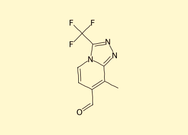 Cc1c(C=O)ccn2c(C(F)(F)F)nnc12